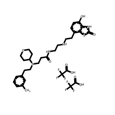 Cc1cccc(CCN(CCC(=O)NCCNCCc2ccc(O)c3[nH]c(=O)sc23)C2CCOCC2)c1.O=C(O)C(F)(F)F.O=C(O)C(F)(F)F